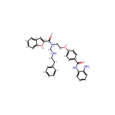 Nc1ccccc1NC(=O)c1ccc(OCCN(CNCCc2ccccc2)C(=O)c2cc3ccccc3o2)cc1